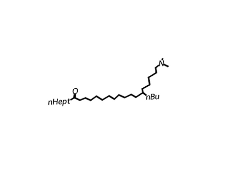 CCCCCCCC(=O)CCCCCCCCCCCC(CCCC)CCCCCN(C)C